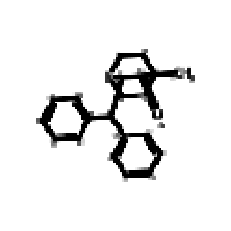 CC12CCN(CC1)C(C(c1ccccc1)c1ccccc1)C2=O